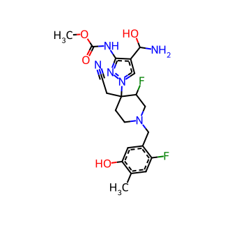 COC(=O)Nc1nn(C2(CC#N)CCN(Cc3cc(O)c(C)cc3F)CC2F)cc1C(N)O